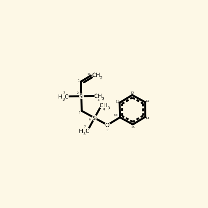 C=C[Si](C)(C)C[Si](C)(C)Oc1ccccc1